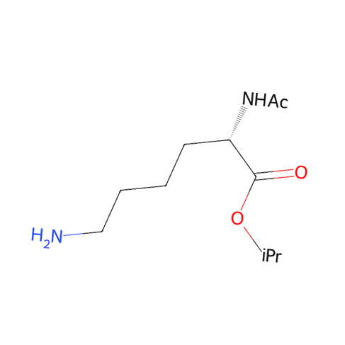 CC(=O)N[C@@H](CCCCN)C(=O)OC(C)C